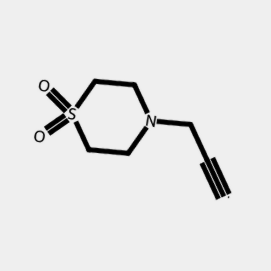 [C]#CCN1CCS(=O)(=O)CC1